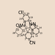 COC(c1ccc(C#N)cc1)(c1c2ccccc2nn1-c1ccc(Cl)cc1)C1CCCCC1